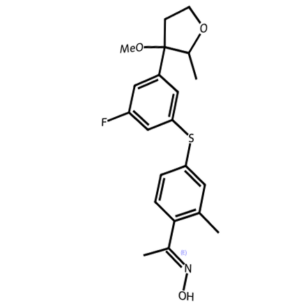 COC1(c2cc(F)cc(Sc3ccc(/C(C)=N/O)c(C)c3)c2)CCOC1C